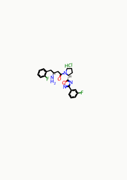 Cl.N[C@@H](CC(=O)N1CCC[C@@H]1c1nc(-c2cccc(F)c2)no1)Cc1ccccc1F